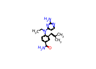 CCN(c1ccnc(N)n1)c1ccc(C(N)=O)cc1C=C(C)C